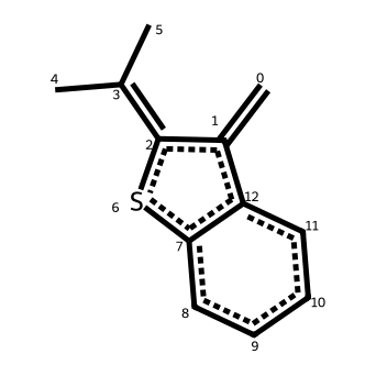 C=c1c(=C(C)C)sc2ccccc12